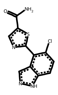 NC(=O)c1cnc(-c2c(Cl)ccc3[nH]ncc23)s1